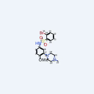 COc1ccc(NS(=O)(=O)c2ccccc2Br)cc1N1CCN(C)CC1